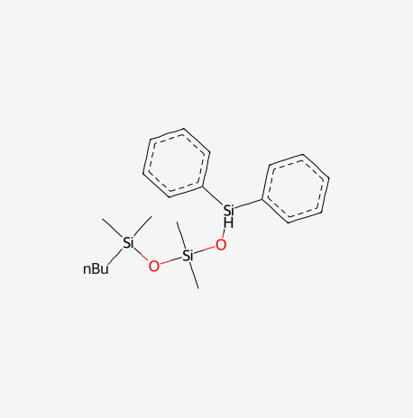 CCCC[Si](C)(C)O[Si](C)(C)O[SiH](c1ccccc1)c1ccccc1